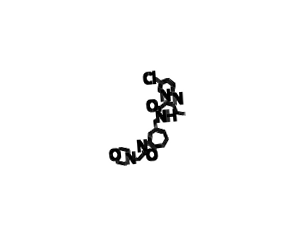 CCc1nc2ccc(Cl)cn2c1C(=O)NCC1=CCC=c2oc(CN3CCOCC3)nc2=C1